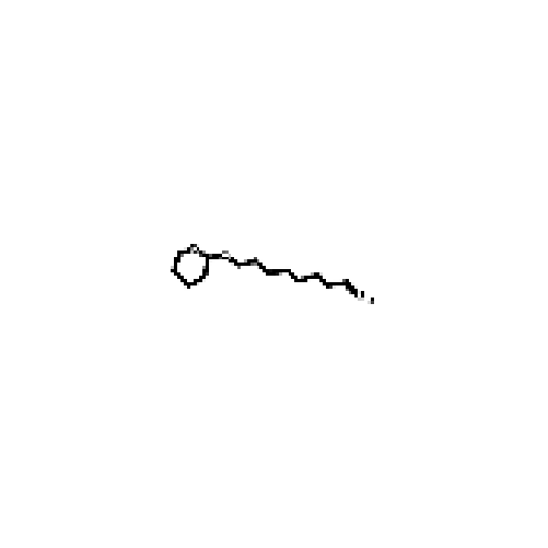 C=CCCCCCCCOC1CCCCO1